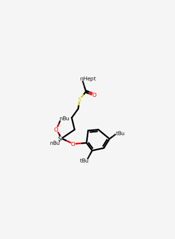 CCCCCCCC(=O)SCCC[Si](CCCC)(OCCCC)Oc1ccc(C(C)(C)C)cc1C(C)(C)C